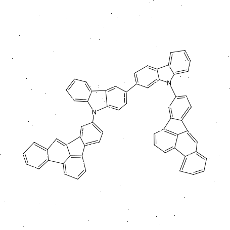 c1ccc2c(c1)cc1c3c(cccc32)-c2cc(-n3c4ccccc4c4ccc(-c5ccc6c(c5)c5ccccc5n6-c5ccc6c(c5)-c5cc7ccccc7c7cccc-6c57)cc43)ccc2-1